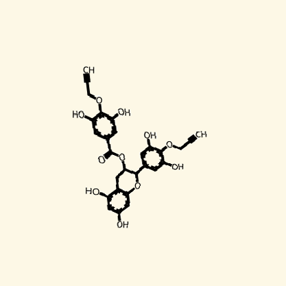 C#CCOc1c(O)cc(C(=O)OC2Cc3c(O)cc(O)cc3OC2c2cc(O)c(OCC#C)c(O)c2)cc1O